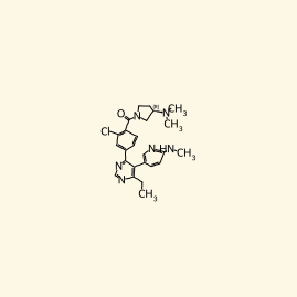 CCc1ncnc(-c2ccc(C(=O)N3CC[C@@H](N(C)C)C3)c(Cl)c2)c1-c1ccc(NC)nc1